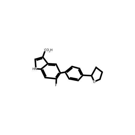 O=C(O)c1c[nH]c2cc(F)c(-c3ccc(C4CCCO4)cc3)cc12